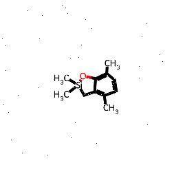 Cc1ccc(C)c2c1C[Si](C)(C)O2